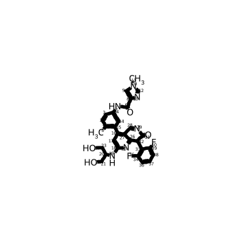 Cc1ccc(NC(=O)c2cn(C)cn2)cc1-c1cc(NC(CO)CO)nc2c1C=NC(=O)C2c1c(F)cccc1F